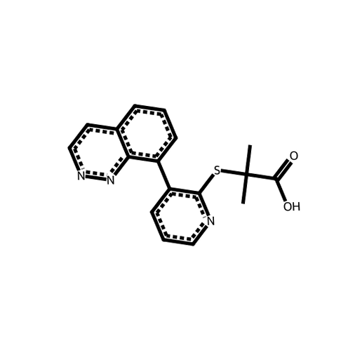 CC(C)(Sc1ncccc1-c1cccc2ccnnc12)C(=O)O